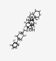 C[C@]12CCCCC1CC[C@@H]1[C@@H]2CC[C@@]2(C)[C@H]1CC[C@]2(O)CCN1CCN(c2ccccn2)CC1